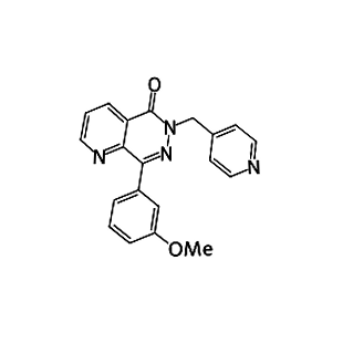 COc1cccc(-c2nn(Cc3ccncc3)c(=O)c3cccnc23)c1